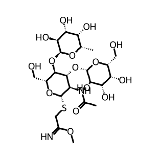 COC(=N)CS[C@@H]1O[C@H](CO)[C@@H](O[C@@H]2O[C@@H](C)[C@@H](O)[C@@H](O)[C@@H]2O)[C@H](O[C@@H]2O[C@H](CO)[C@H](O)[C@H](O)[C@H]2O)[C@H]1NC(C)=O